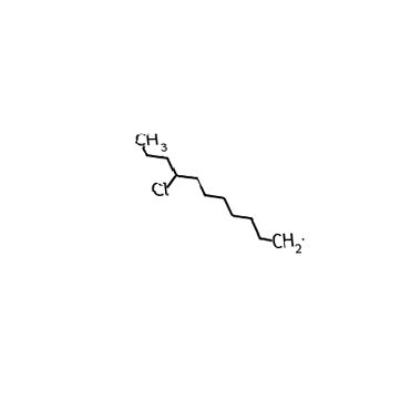 [CH2]CCCCCCC(Cl)CCC